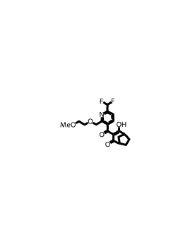 COCCOCc1nc(C(F)F)ccc1C(=O)C1=C(O)C2CCC(C2)C1=O